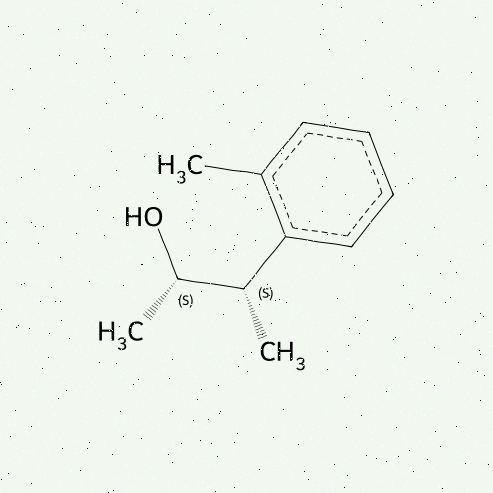 Cc1ccccc1[C@H](C)[C@H](C)O